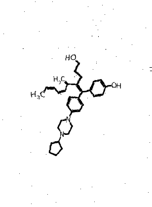 C=C(/C=C\C=C/C)/C(CCCO)=C(/c1ccc(O)cc1)c1ccc(N2CCN(C3CCCC3)CC2)cc1